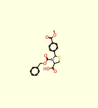 COC(=O)c1ccc(C2SCC(C(=O)O)N2C(=O)OCc2ccccc2)cc1